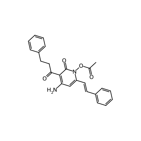 CC(=O)On1c(C=Cc2ccccc2)cc(N)c(C(=O)CCc2ccccc2)c1=O